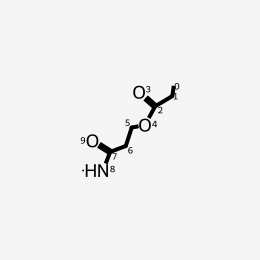 CCC(=O)OCCC([NH])=O